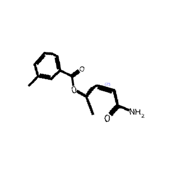 Cc1cccc(C(=O)OC(C)/C=C\C(N)=O)c1